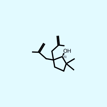 C=C(C)CC1(CC(=C)C)CCC(C)(C)[C@@H]1O